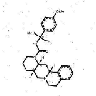 COc1ccc([C@](C)(NC(=O)N2CCC[C@H]3CN4CCc5ccccc5[C@H]4C[C@H]32)OC)cc1